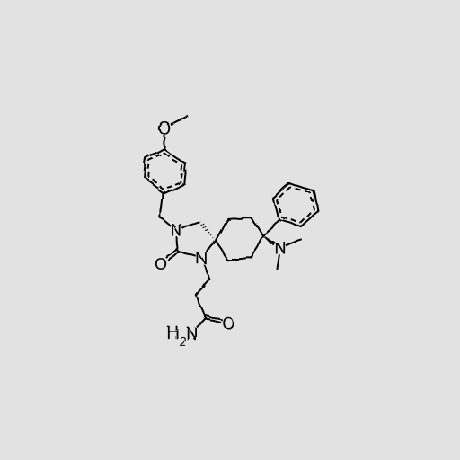 COc1ccc(CN2C[C@]3(CC[C@](c4ccccc4)(N(C)C)CC3)N(CCC(N)=O)C2=O)cc1